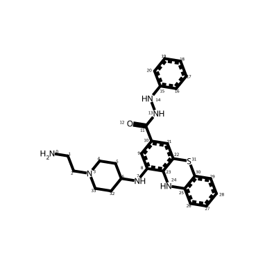 NCCN1CCC(Nc2cc(C(=O)NNc3ccccc3)cc3c2Nc2ccccc2S3)CC1